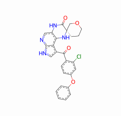 O=C(c1ccc(Oc2ccccc2)cc1Cl)c1c[nH]c2ncc3c(c12)N[C@@]1(CCCOC1)C(=O)N3